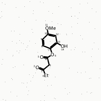 CCC(=O)CC(=O)Oc1ccc(OC)cc1O